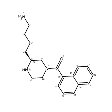 NCCCC[C@H]1CN(C(=O)c2cccc3ccccc23)CCN1